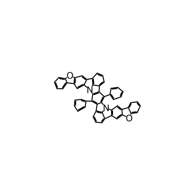 c1ccc(-c2c3c4cccc5c6cc7oc8ccccc8c7cc6n(c3c(-c3ccccc3)c3c6cccc7c8cc9oc%10ccccc%10c9cc8n(c23)c76)c54)cc1